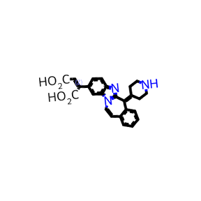 O=C(O)/C=C(\C(=O)O)c1ccc2nc3n(c2c1)C=Cc1ccccc1C3=C1CCNCC1